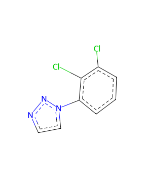 Clc1cccc(-n2ccnn2)c1Cl